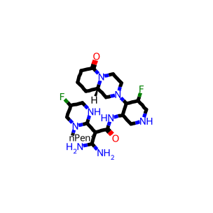 CCCCCN1CC(F)CNC1C(C(=O)NC1CNCC(F)C1N1CCN2C(=O)CCC[C@H]2C1)C(N)N